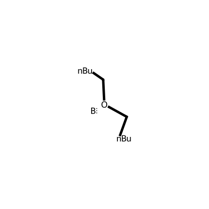 CCCCCOCCCCC.[B]